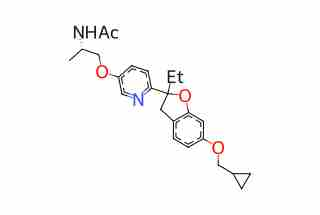 CCC1(c2ccc(OC[C@H](C)NC(C)=O)cn2)Cc2ccc(OCC3CC3)cc2O1